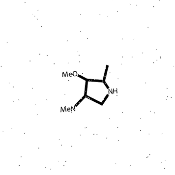 CNC1CNC(C)C1OC